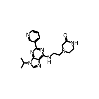 CC(C)n1cnc2c(NCCN3CCNC(=O)C3)nc(-c3cccnc3)nc21